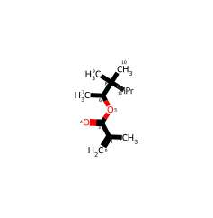 C=C(C)C(=O)OC(C)C(C)(C)C(C)C